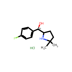 CC1(C)CCC([C@H](O)c2ccc(F)cc2)N1.Cl